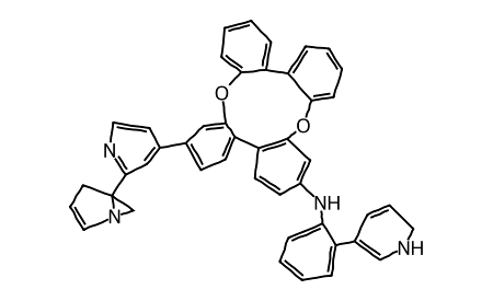 C1=CC(c2ccccc2Nc2ccc3c(c2)Oc2ccccc2-c2ccccc2Oc2cc(-c4ccnc(C56CC=CN5C6)c4)ccc2-3)=CNC1